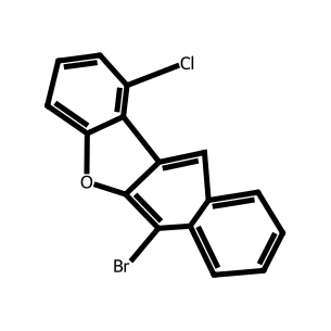 Clc1cccc2oc3c(Br)c4ccccc4cc3c12